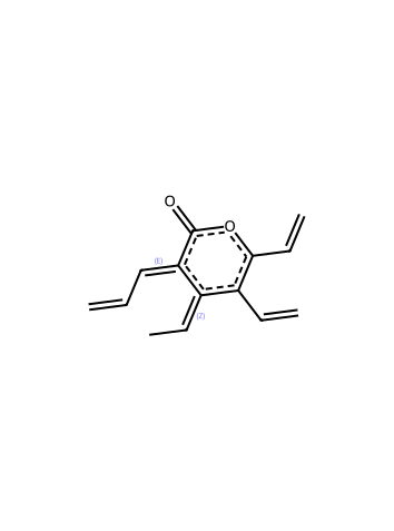 C=C/C=c1/c(=O)oc(C=C)c(C=C)/c1=C/C